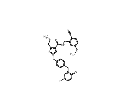 COCc1nn(Cc2ccc(Cn3cc(F)ccc3=O)cc2)cc1C(=O)NCc1cc(OC)ccc1C#N